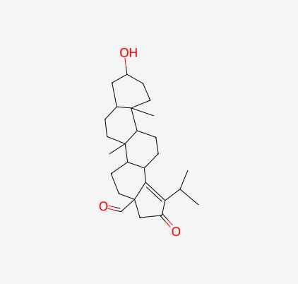 CC(C)C1=C2C3CCC4C5(C)CCC(O)CC5CCC4(C)C3CCC2(C=O)CC1=O